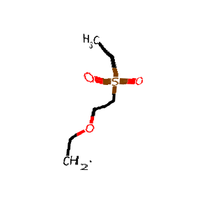 [CH2]COCCS(=O)(=O)CC